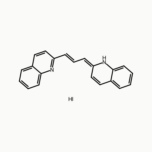 C(=Cc1ccc2ccccc2n1)C=C1C=Cc2ccccc2N1.I